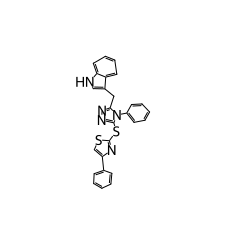 c1ccc(-c2csc(Sc3nnc(Cc4c[nH]c5ccccc45)n3-c3ccccc3)n2)cc1